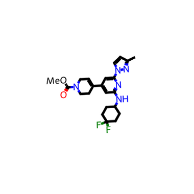 COC(=O)N1CC=C(c2cc(NC3CCC(F)(F)CC3)nc(-n3ccc(C)n3)c2)CC1